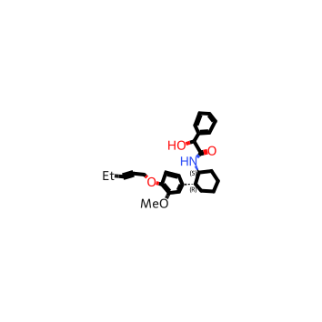 CCC#CCOc1ccc([C@H]2CCCC[C@@H]2NC(=O)C(O)c2ccccc2)cc1OC